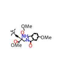 COCON[C@](C#C[Si](C)(C)C)(CN1Cc2ccc(OC)cc2C1=O)C(=O)OC